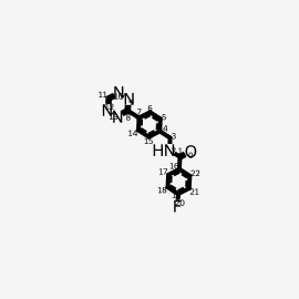 O=C(NCc1ccc(-c2nncnn2)cc1)c1ccc(F)cc1